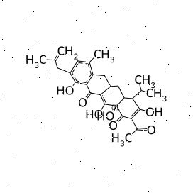 C=C(C)Cc1cc(C)c2c(c1O)C(=O)C1=C(O)[C@@]3(O)C(=O)C(C(C)=O)=C(O)C(C(C)C)C3CC1C2